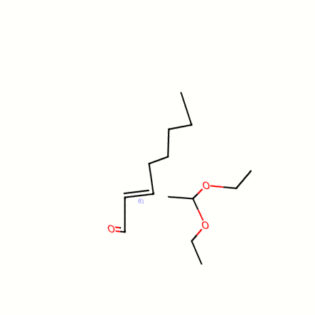 CCCCC/C=C/C=O.CCOC(C)OCC